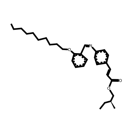 CCCCCCCCCCOc1ccccc1/C=N\c1ccc(/C=C/C(=O)OC[C@@H](C)CC)cc1